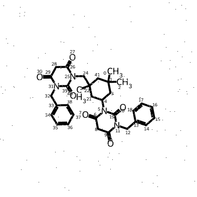 CC1(C)CC(N2C(=O)CC(=O)N(Cc3ccccc3)C2=O)CC(C)(CN2C(=O)CC(=O)N(Cc3ccccc3)C2=O)C1